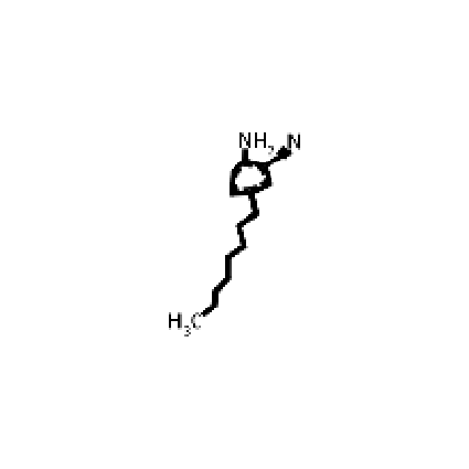 CCCCCCCCc1ccc(N)c(C#N)c1